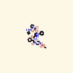 CCOC(=O)ON1CCN(C(=O)[C@@H](NC(=O)c2cc(OCC(=O)N3CCC[C@H]3C(=O)NC3CCC3)n(-c3ccccc3)n2)C2CCCCC2)CC1